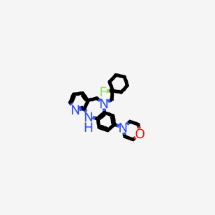 FC1(CN2Cc3cccnc3Nc3ccc(N4CCOCC4)cc32)CCCCC1